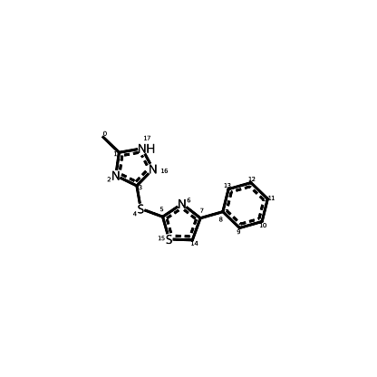 Cc1nc(Sc2nc(-c3ccccc3)cs2)n[nH]1